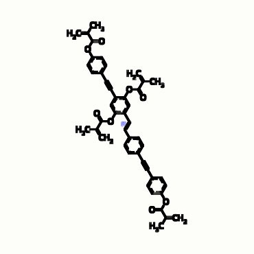 C=C(C)C(=O)Oc1ccc(C#Cc2ccc(/C=C/c3cc(OC(=O)C(=C)C)c(C#Cc4ccc(OC(=O)C(=C)C)cc4)cc3OC(=O)C(=C)C)cc2)cc1